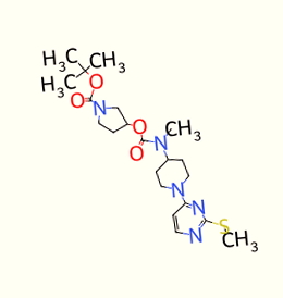 CSc1nccc(N2CCC(N(C)C(=O)OC3CCN(C(=O)OC(C)(C)C)C3)CC2)n1